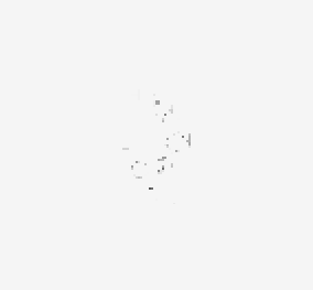 COc1ccc(F)cc1S(=O)(=O)Nc1cnc2c(c1)C(=O)N1C[C@H](O)C[C@@H]1CO2